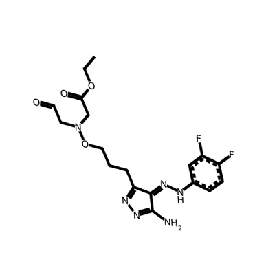 CCOC(=O)CN(CC=O)OCCCC1=NN=C(N)C1=NNc1ccc(F)c(F)c1